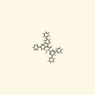 C=C(C(CC)c1nc(-c2ccccc2)cc(-c2ccccc2)n1)n1c2ccc(-c3ccccc3)cc2c2cc(-c3ccccc3)ccc21